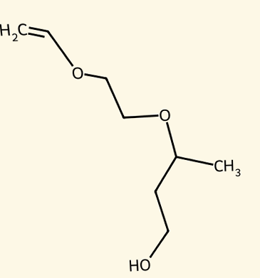 C=COCCOC(C)CCO